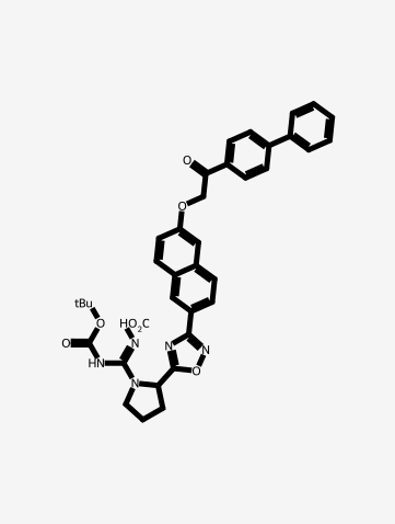 CC(C)(C)OC(=O)NC(=NC(=O)O)N1CCCC1c1nc(-c2ccc3cc(OCC(=O)c4ccc(-c5ccccc5)cc4)ccc3c2)no1